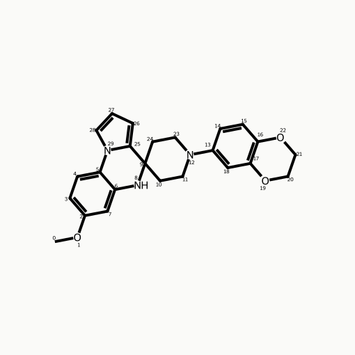 COc1ccc2c(c1)NC1(CCN(c3ccc4c(c3)OCCO4)CC1)c1cccn1-2